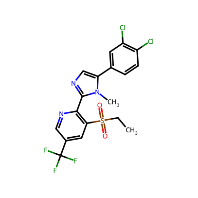 CCS(=O)(=O)c1cc(C(F)(F)F)cnc1-c1ncc(-c2ccc(Cl)c(Cl)c2)n1C